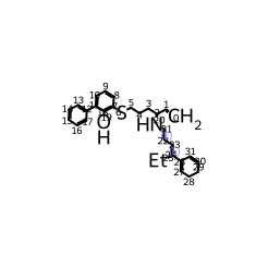 C=CC(CCCSc1cccc(-c2ccccc2)c1O)N/C=C/C=C(\CC)C1=CCCC=C1